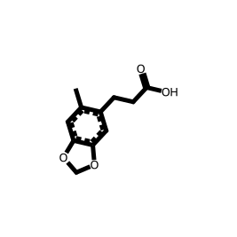 Cc1cc2c(cc1CCC(=O)O)OCO2